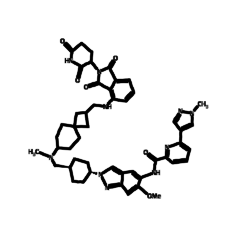 COc1cc2nn([C@H]3CC[C@H](CN(C)C4CCC5(CC4)CC(CNc4cccc6c4C(=O)N(C4CCC(=O)NC4=O)C6=O)C5)CC3)cc2cc1NC(=O)c1cccc(-c2cnn(C)c2)n1